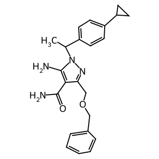 CC(c1ccc(C2CC2)cc1)n1nc(COCc2ccccc2)c(C(N)=O)c1N